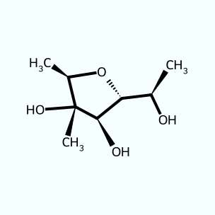 C[C@@H](O)[C@H]1O[C@H](C)[C@@](C)(O)[C@@H]1O